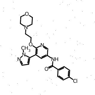 Cn1nccc1-c1cc(NC(=O)c2ccc(Cl)cc2)cnc1OCCN1CCOCC1